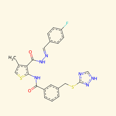 Cc1csc(NC(=O)c2cccc(CSc3nc[nH]n3)c2)c1C(=O)N/N=C/c1ccc(F)cc1